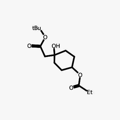 CCC(=O)OC1CCC(O)(CC(=O)OC(C)(C)C)CC1